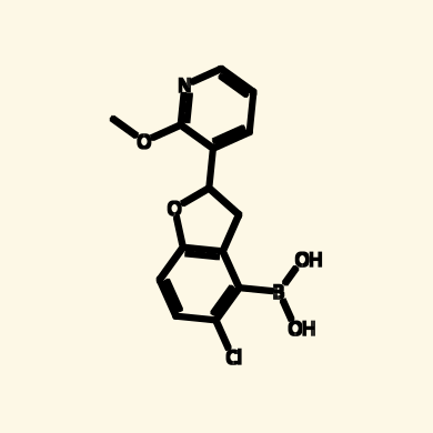 COc1ncccc1C1Cc2c(ccc(Cl)c2B(O)O)O1